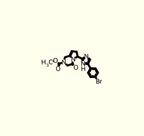 COC(=O)N1CC(=O)N2C(=CCC2c2ncc(-c3ccc(Br)cc3)[nH]2)C1